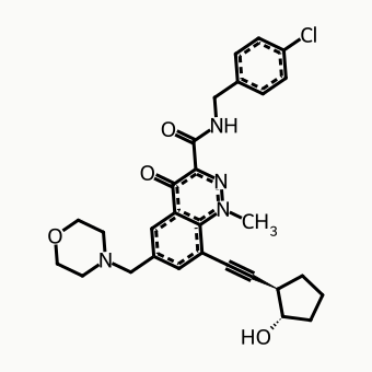 Cn1nc(C(=O)NCc2ccc(Cl)cc2)c(=O)c2cc(CN3CCOCC3)cc(C#C[C@H]3CCC[C@@H]3O)c21